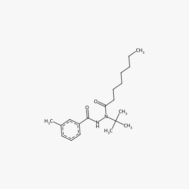 CCCCCCCC(=O)N(NC(=O)c1cccc(C)c1)C(C)(C)C